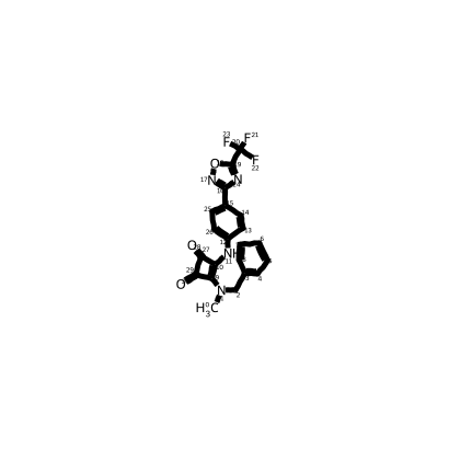 CN(Cc1ccccc1)c1c(Nc2ccc(-c3noc(C(F)(F)F)n3)cc2)c(=O)c1=O